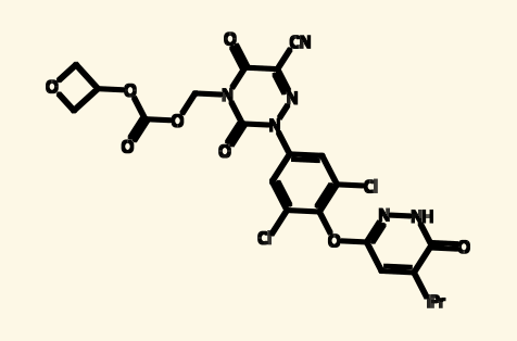 CC(C)c1cc(Oc2c(Cl)cc(-n3nc(C#N)c(=O)n(COC(=O)OC4COC4)c3=O)cc2Cl)n[nH]c1=O